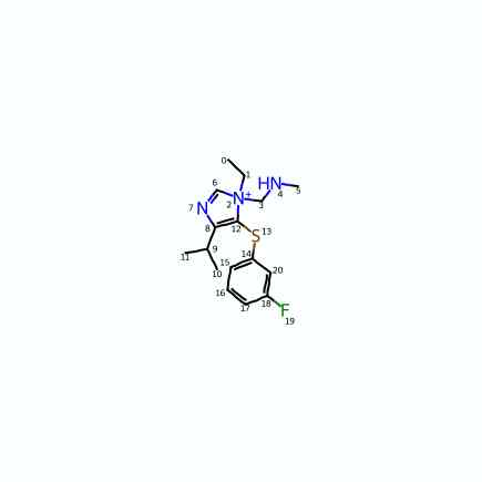 CC[N+]1(CNC)C=NC(C(C)C)=C1Sc1cccc(F)c1